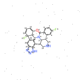 O=C(c1ccc(F)cc1)N(CC1C=CC=CC1(F)c1ccc2[nH]nnc2c1)C1CCNCC1